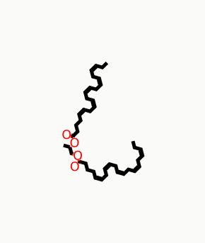 CC/C=C\C/C=C\C/C=C\C/C=C\C/C=C\CCCC(=O)OCC(C)OC(=O)CCC/C=C\C/C=C\C/C=C\C/C=C\C/C=C\CC